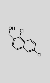 OCc1ccc2cc(Cl)ccc2c1Cl